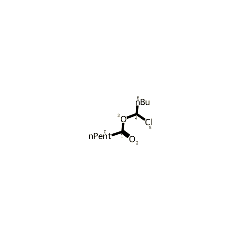 CCCCCC(=O)OC(Cl)CCCC